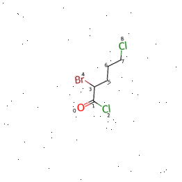 O=C(Cl)C(Br)CCCCl